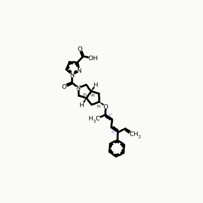 C=C/C(=C\C=C(/C)O[C@H]1C[C@@H]2CN(C(=O)n3ccc(C(=O)O)n3)C[C@@H]2C1)c1ccccc1